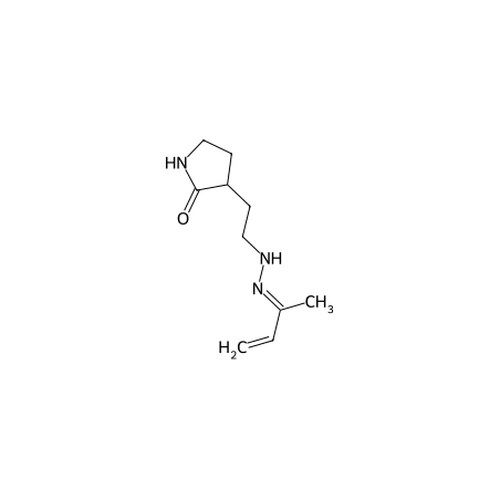 C=C/C(C)=N/NCCC1CCNC1=O